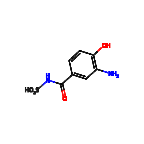 Nc1cc(C(=O)NS(=O)(=O)O)ccc1O